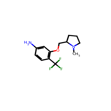 CN1CCCC1COc1cc(N)ccc1C(F)(F)F